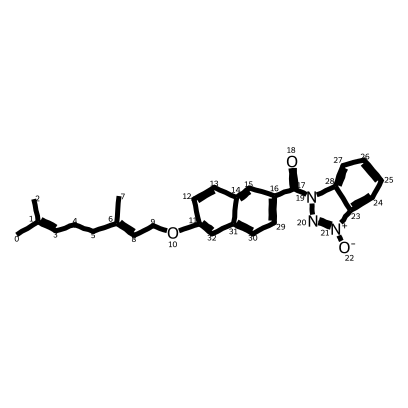 CC(C)=CCC/C(C)=C/COc1ccc2cc(C(=O)n3n[n+]([O-])c4ccccc43)ccc2c1